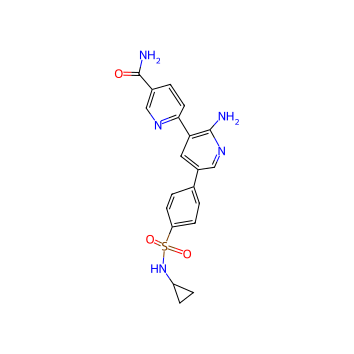 NC(=O)c1ccc(-c2cc(-c3ccc(S(=O)(=O)NC4CC4)cc3)cnc2N)nc1